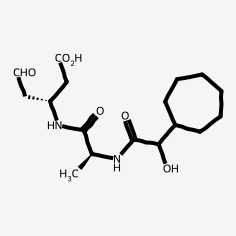 C[C@H](NC(=O)C(O)C1CCCCCC1)C(=O)N[C@H](CC=O)CC(=O)O